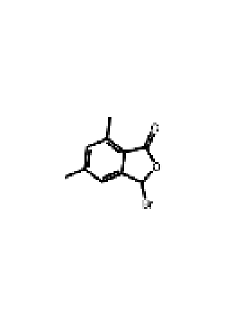 Cc1cc(C)c2c(c1)C(Br)OC2=O